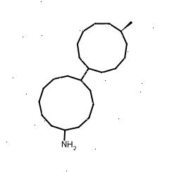 C[C@@H]1CCCCCC(C2CCCCCCC(N)CCCC2)CCCC1